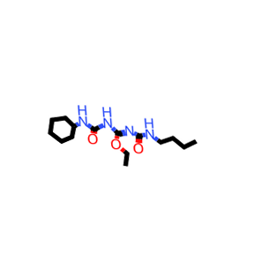 CCCCNC(=O)N=C(NC(=O)NC1CCCCC1)OCC